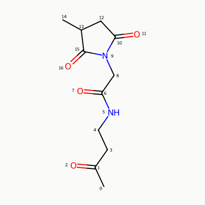 CC(=O)CCNC(=O)CN1C(=O)CC(C)C1=O